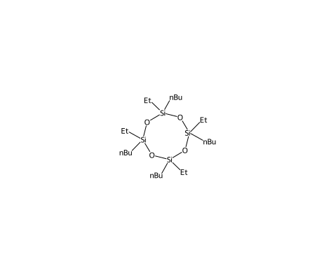 CCCC[Si]1(CC)O[Si](CC)(CCCC)O[Si](CC)(CCCC)O[Si](CC)(CCCC)O1